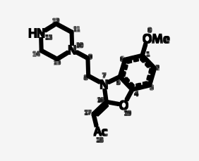 COc1ccc2c(c1)N(CCN1CCNCC1)/C(=C/C(C)=O)O2